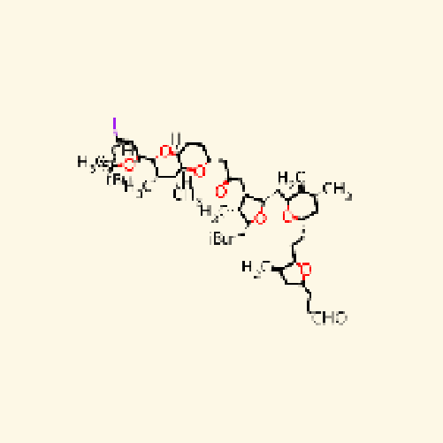 C=C1C[C@H](CCC=O)OC1CC[C@H]1C[C@@H](C)C(=C)C(C[C@@H]2O[C@H](C[C@H](C)CC)[C@H](C)[C@H]2CC(=O)C[C@H]2CC[C@@H]3O[C@@H]([C@H](/C=C/I)O[Si](C)(C)C(C)(C)C)[C@@H](C)[C@@H](C)[C@H]3O2)O1